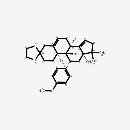 COc1ccc([C@H]2C[C@@]3(C)C(=CC[C@]3(C)O)[C@@H]3CC=C4CC5(CC[C@@H]4[C@@H]23)OCCO5)cc1